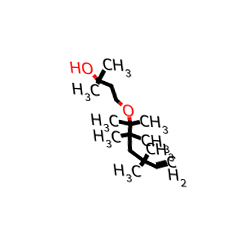 C=CC(C)(C)CC(C)(C)C(C)(C)OCCC(C)(C)O